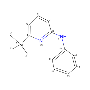 C[Si](C)(C)c1cccc(Nc2ccccc2)n1